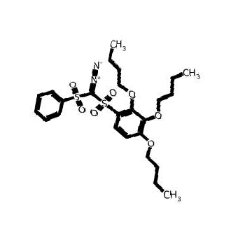 CCCCOc1ccc(S(=O)(=O)C(=[N+]=[N-])S(=O)(=O)c2ccccc2)c(OCCCC)c1OCCCC